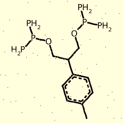 Cc1ccc(C(COP(P)P)COP(P)P)cc1